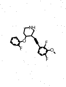 COc1c(F)ccc(C#CC2CN[CH]CC2Oc2ccccc2F)c1F